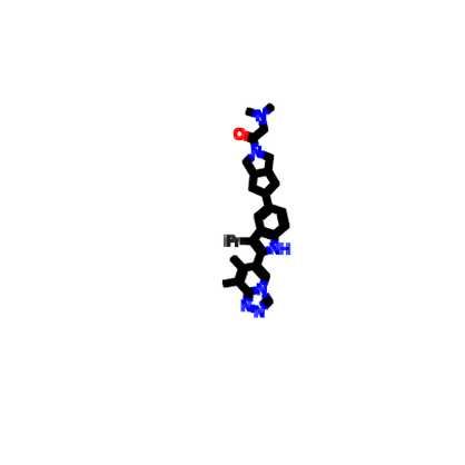 Cc1c(-c2[nH]c3ccc(C4CC5CN(C(=O)CN(C)C)CC5C4)cc3c2C(C)C)cn2cnnc2c1C